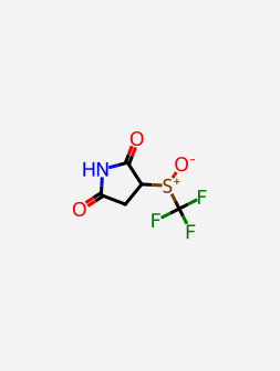 O=C1CC([S+]([O-])C(F)(F)F)C(=O)N1